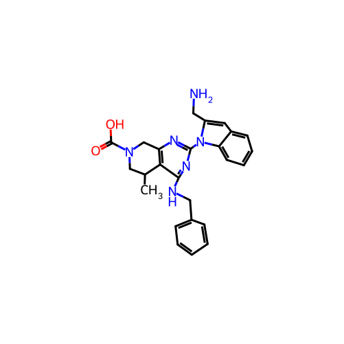 CC1CN(C(=O)O)Cc2nc(-n3c(CN)cc4ccccc43)nc(NCc3ccccc3)c21